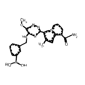 COc1nnc(-c2c(C)cc3c(C(N)=O)cccn23)nc1NCc1cccc(B(O)O)c1